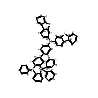 c1ccc(N2c3ccccc3[Si](c3ccccc3)(c3ccccc3)c3cc(-c4ccc(N(c5ccc6c(c5)sc5ccccc56)c5ccc6c(c5)sc5ccccc56)cc4)ccc32)cc1